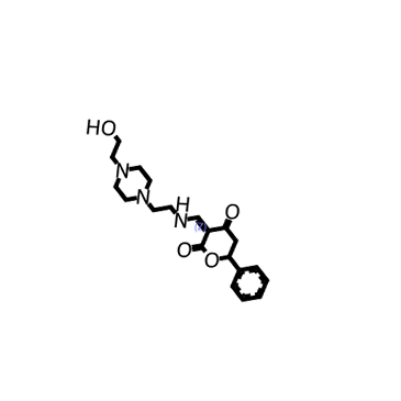 O=C1CC(c2ccccc2)OC(=O)/C1=C\NCCN1CCN(CCO)CC1